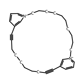 C1#Cc2ccc[n+](c2)CCCCCCCCCC[n+]2cccc(c2)C#CCCCCCC1